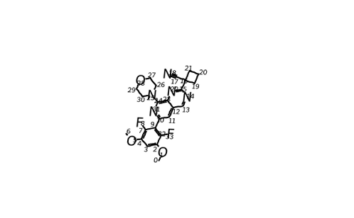 COc1cc(OC)c(F)c(-c2cc3cnc(C4(C#N)CCC4)nc3c(N3CCOCC3)n2)c1F